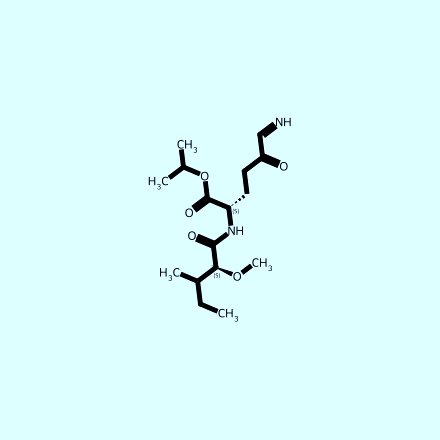 CCC(C)[C@H](OC)C(=O)N[C@@H](CCC(=O)C=N)C(=O)OC(C)C